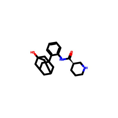 O=C(Nc1ccccc1C12CC3CC(CC(O)(C3)C1)C2)[C@H]1CCCNC1